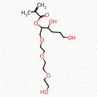 C=C(C)C(=O)OC(COCCOCCOCCO)C(O)CCCO